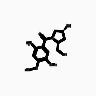 CCCCOc1cc(N)c(C(=O)N2C[C@H](O)C[C@H]2CO)cc1OC